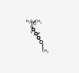 C=CC(=O)N(C)CCOc1ccc(-c2ccc(-c3ccc(C4CCC(CCCCC)CC4)cc3)c(F)c2)c(F)c1